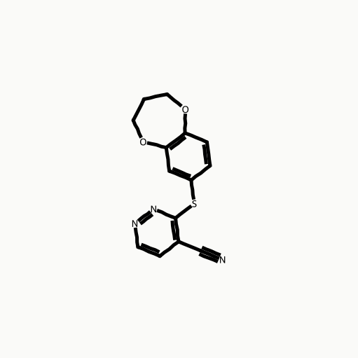 N#Cc1ccnnc1Sc1ccc2c(c1)OCCCO2